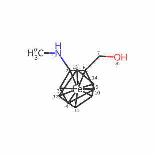 CN[C]12[CH]3[CH]4[CH]5[C]1(CO)[Fe]45321678[CH]2[CH]1[CH]6[CH]7[CH]28